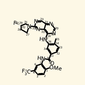 COc1ccc(C(F)(F)F)cc1NC(=O)c1ccc(C)c(Nc2ncnc3cnc(N4CC[C@H](F)C4)nc23)c1